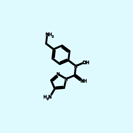 N=C(N(O)c1ccc(CN)cc1)n1cc(N)cn1